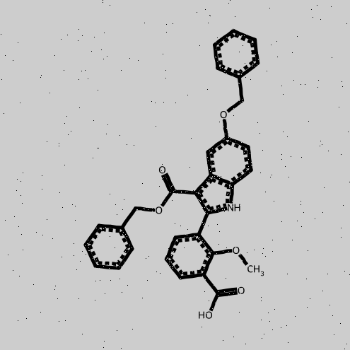 COc1c(C(=O)O)cccc1-c1[nH]c2ccc(OCc3ccccc3)cc2c1C(=O)OCc1ccccc1